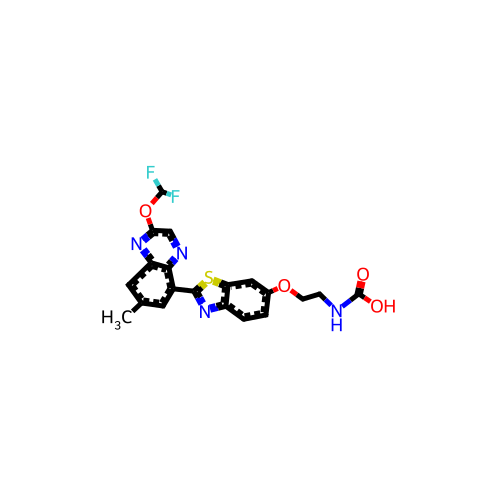 Cc1cc(-c2nc3ccc(OCCNC(=O)O)cc3s2)c2ncc(OC(F)F)nc2c1